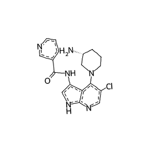 N[C@@H]1CCCN(c2c(Cl)cnc3[nH]cc(NC(=O)c4cccnc4)c23)C1